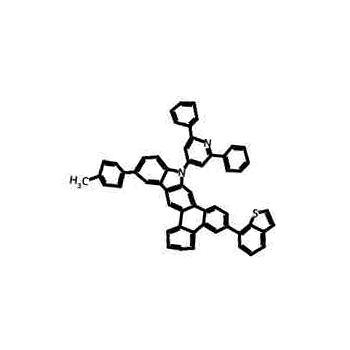 Cc1ccc(-c2ccc3c(c2)c2cc4c5ccccc5c5cc(-c6cccc7ccsc67)ccc5c4cc2n3-c2cc(-c3ccccc3)nc(-c3ccccc3)c2)cc1